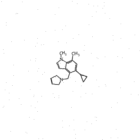 Cc1cc(C2CC2)c(CN2CCCC2)c2ccn(C)c12